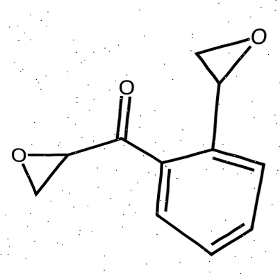 O=C(c1ccccc1C1CO1)C1CO1